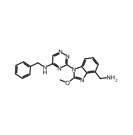 COc1nc2c(CN)cccc2n1-c1nncc(NCc2ccccc2)n1